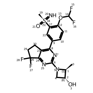 C[C@H]1[C@H](O)CN1c1nc(-c2ccc(OC(F)F)c([S@@](C)(=N)=O)c2)c2c(n1)C(F)(F)CC2